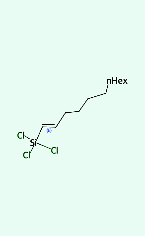 CCCCCCCCCC/C=C/[Si](Cl)(Cl)Cl